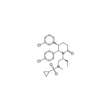 CC[C@@H](CN(C)S(=O)(=O)C1CC1)N1C(=O)CC[C@H](c2cccc(Cl)c2)C1c1ccc(Cl)cc1